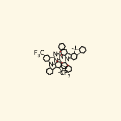 CC1(C)c2ccccc2-c2ccc3c(c21)c1ccccc1n3-c1ccc(C(F)(F)F)cc1-c1nc(-c2ccccc2)nc(-c2cc(C(F)(F)F)ccc2-n2c3ccccc3c3c4c(ccc32)-c2ccccc2C4(C)C)n1